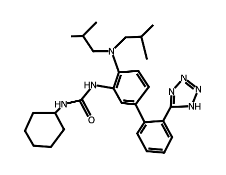 CC(C)CN(CC(C)C)c1ccc(-c2ccccc2-c2nnn[nH]2)cc1NC(=O)NC1CCCCC1